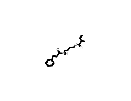 C=CC(C)C(=O)OCCCCNC(=O)C=Cc1ccccc1